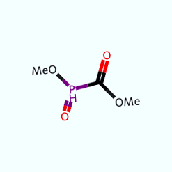 COC(=O)[PH](=O)OC